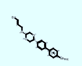 CC/C=C/CO[C@H]1CO[C@H](c2ccc(C34CCC(CCCCC)(CC3)CC4)cc2)CO1